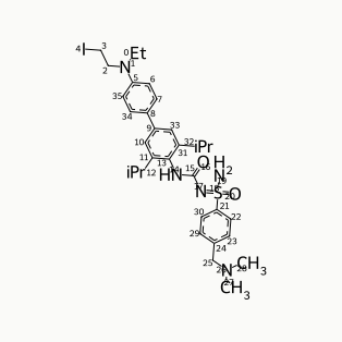 CCN(CCI)c1ccc(-c2cc(C(C)C)c(NC(=O)N=S(N)(=O)c3ccc(CN(C)C)cc3)c(C(C)C)c2)cc1